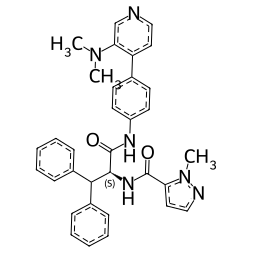 CN(C)c1cnccc1-c1ccc(NC(=O)[C@@H](NC(=O)c2ccnn2C)C(c2ccccc2)c2ccccc2)cc1